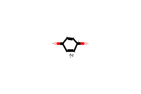 O=C1C=CC(=O)C=C1.[Ag]